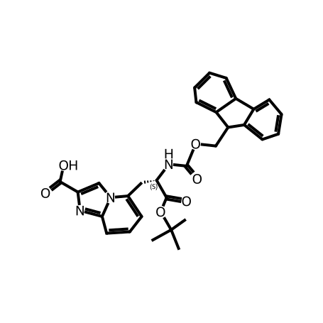 CC(C)(C)OC(=O)[C@H](Cc1cccc2nc(C(=O)O)cn12)NC(=O)OCC1c2ccccc2-c2ccccc21